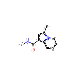 CC(C)c1cc(C(=O)NC(C)(C)C)c2ccccn12